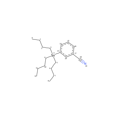 CCC[CH2][Sn]([CH2]CCC)([CH2]CCC)[c]1cccc(C#N)c1